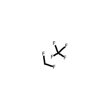 FC(F)(F)F.FCF